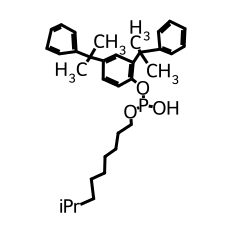 CC(C)CCCCCCCOP(O)Oc1ccc(C(C)(C)c2ccccc2)cc1C(C)(C)c1ccccc1